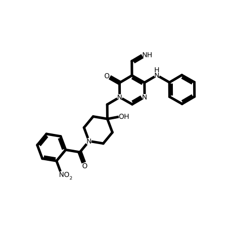 N=Cc1c(Nc2ccccc2)ncn(CC2(O)CCN(C(=O)c3ccccc3[N+](=O)[O-])CC2)c1=O